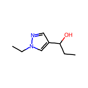 CCC(O)c1cnn(CC)c1